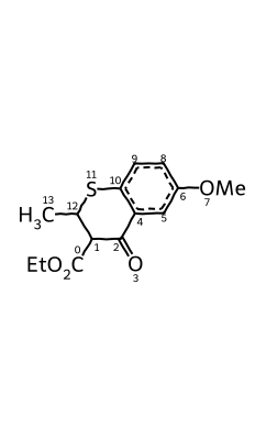 CCOC(=O)C1C(=O)c2cc(OC)ccc2SC1C